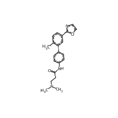 Cc1ccc(-c2ncco2)cc1-c1ccc(NC(=O)CCN(C)C)cc1